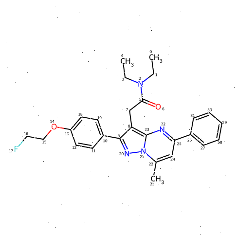 CCN(CC)C(=O)Cc1c(-c2ccc(OCCF)cc2)nn2c(C)cc(-c3ccccc3)nc12